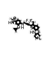 CN1CC[C@H](Nc2cccc3c(CC(F)(F)F)c(C#CCNc4ccc(S(C)(=N)=O)cc4OC4CC4)sc23)[C@@H](F)C1